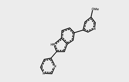 COc1cncc(-c2ccc3[nH]c(-c4ccncn4)cc3c2)c1